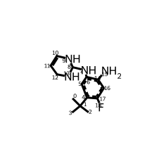 CC(C)(C)c1cc(NC2NC=CCN2)c(N)cc1F